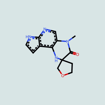 CN1C(=O)C2(CCOC2)Nc2c1cnc1[nH]ccc21